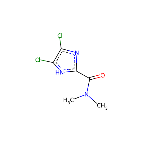 CN(C)C(=O)c1nc(Cl)c(Cl)[nH]1